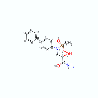 CS(=O)(=O)N(C[C@@H](O)C(N)=O)c1ccc(-c2ccccc2)cc1